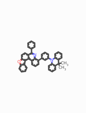 CC1(C)c2ccccc2N(c2cccc(-c3cccc4c3nc(-c3ccccc3)c3ccc5oc6ccccc6c5c34)c2)c2ccccc21